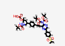 CC(C)S(=O)(=O)c1ccc(-c2cnc(N(C(=O)OC(C)(C)C)C(=O)OC(C)(C)C)c(C#Cc3ccc(C(CNC(=O)OC(C)(C)C)CC(C)(C)OC(=O)O)cc3)n2)cc1